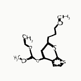 CCOC(OC)OC1CC(CCCOC)Sc2sccc21